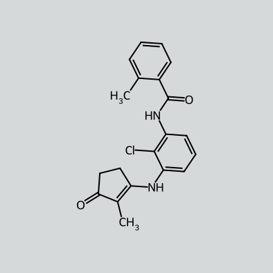 CC1=C(Nc2cccc(NC(=O)c3ccccc3C)c2Cl)CCC1=O